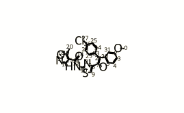 COc1ccc2oc(-c3csc(NC(=O)c4cnoc4C)n3)c(-c3ccc(Cl)cc3)c2c1